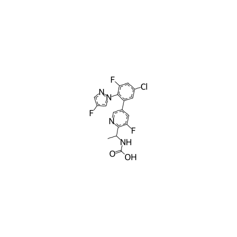 CC(NC(=O)O)c1ncc(-c2cc(Cl)cc(F)c2-n2cc(F)cn2)cc1F